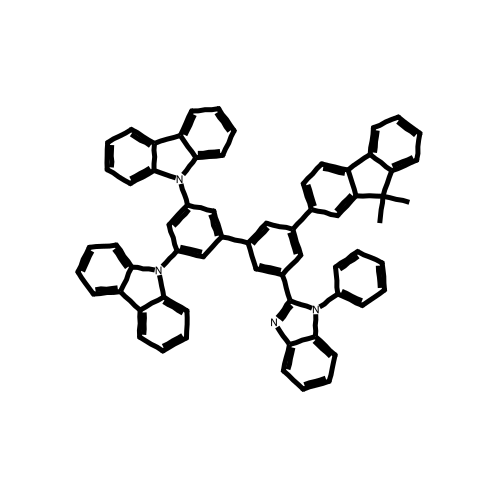 CC1(C)c2ccccc2-c2ccc(-c3cc(-c4cc(-n5c6ccccc6c6ccccc65)cc(-n5c6ccccc6c6ccccc65)c4)cc(-c4nc5ccccc5n4-c4ccccc4)c3)cc21